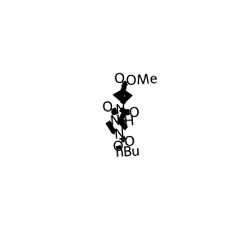 CCCCOC(=O)N1CCN2C(=O)N(C34CC(C(=O)OC)(C3)C4)C(=O)[C@@H]2C1